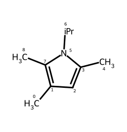 Cc1cc(C)n(C(C)C)c1C